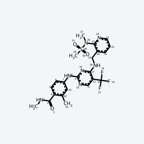 CNC(=O)c1ccc(Nc2ncc(C(F)(F)F)c(NCc3cccnc3N(C)S(C)(=O)=O)n2)cc1C